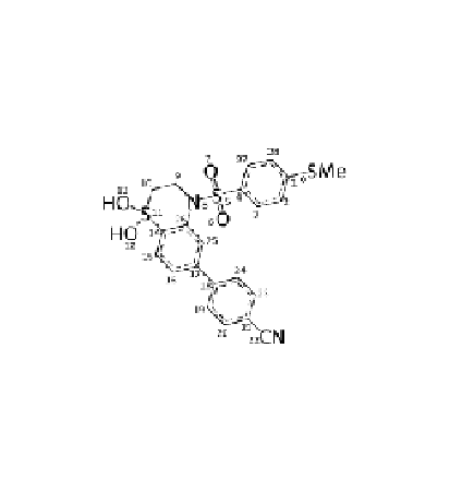 CSc1ccc(S(=O)(=O)N2CCS(O)(O)c3ccc(-c4ccc(C#N)cc4)cc32)cc1